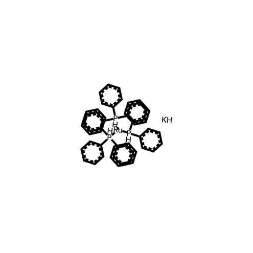 [KH].c1ccc([PH](c2ccccc2)(c2ccccc2)[Ru]([PH](c2ccccc2)(c2ccccc2)c2ccccc2)[PH](c2ccccc2)(c2ccccc2)c2ccccc2)cc1